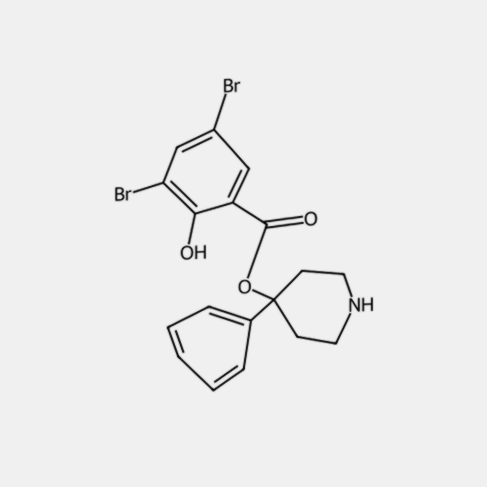 O=C(OC1(c2ccccc2)CCNCC1)c1cc(Br)cc(Br)c1O